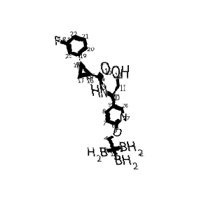 BC(B)(B)COc1ccc([C@H](CO)NC(=O)[C@H]2C[C@@H]2c2cccc(F)c2)cn1